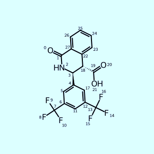 O=C1N[C@H](c2cc(C(F)(F)F)cc(C(F)(F)F)c2)[C@@H](C(=O)O)c2ccccc21